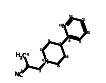 CC(C#N)CN1CCC(c2ccccn2)CC1